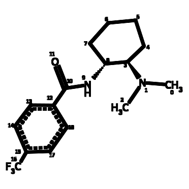 CN(C)[C@@H]1CCCC[C@H]1NC(=O)c1ccc(C(F)(F)F)cc1